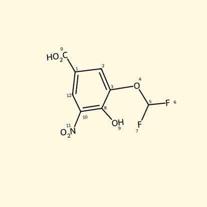 O=C(O)c1cc(OC(F)F)c(O)c([N+](=O)[O-])c1